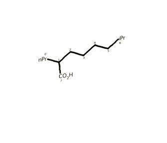 CCCC(CCCCC(C)C)C(=O)O